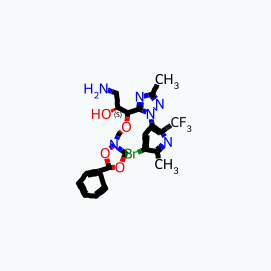 Cc1nc(C(OCN2COC(c3ccccc3)O2)[C@@H](O)CN)n(-c2cc(Br)c(C)nc2C(F)(F)F)n1